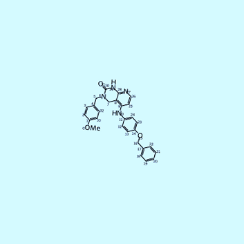 COc1ccc(CN2Cc3c(Nc4ccc(OCc5ccccc5)cc4)ccnc3NC2=O)cc1